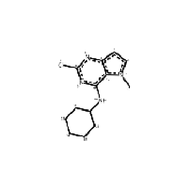 Cn1ccc2nc(Cl)nc(NC3CCCCC3)c21